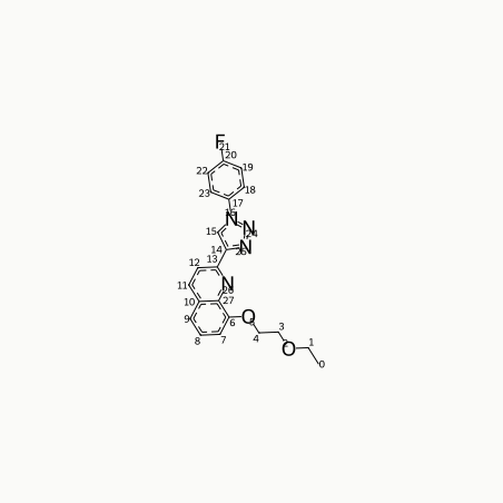 CCOCCOc1cccc2ccc(-c3cn(-c4ccc(F)cc4)nn3)nc12